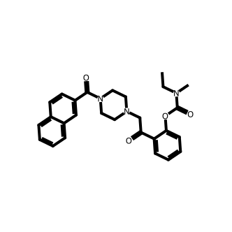 CCN(C)C(=O)Oc1ccccc1C(=O)CN1CCN(C(=O)c2ccc3ccccc3c2)CC1